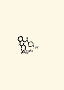 CCCN1CCC(Nc2c3ccccc3nc3cc(OC)c(OC)cc23)CC1